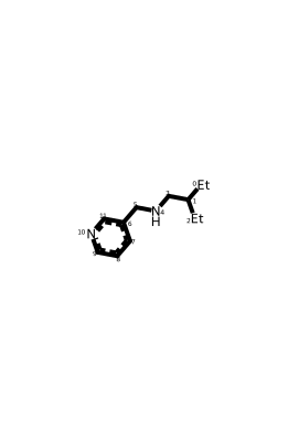 CCC(CC)CNCc1cccnc1